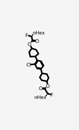 CCCCCC[C@H](F)C(=O)OC1CCC(c2ccc(C3CCC(OC(=O)[C@@H](F)CCCCCC)CC3)c(Cl)c2)CC1